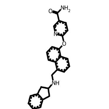 NC(=O)c1ccc(Oc2cccc3c(CNC4Cc5ccccc5C4)cccc23)nc1